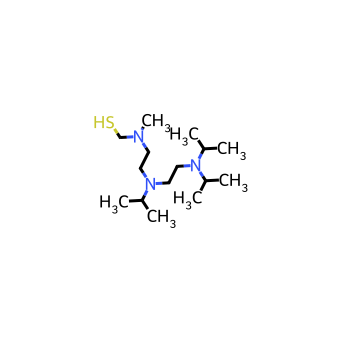 CC(C)N(CCN(C)CS)CCN(C(C)C)C(C)C